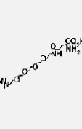 CN(CCOCCOCCOCCOCCNC(=O)CCC(N)C(=O)O)N=N